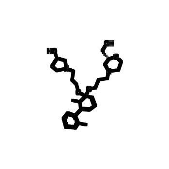 Cc1ccccc1C1=CC=CC(OCCCN2CC[C@@H](O)C2)(OCCCN2CCO[C@@H](CO)C2)C1C